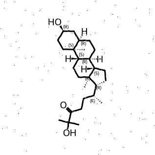 C[C@H](CCC(=O)C(C)(C)O)[C@H]1CC[C@H]2[C@@H]3CC[C@@H]4C[C@H](O)CC[C@]4(C)[C@H]3CC[C@]12C